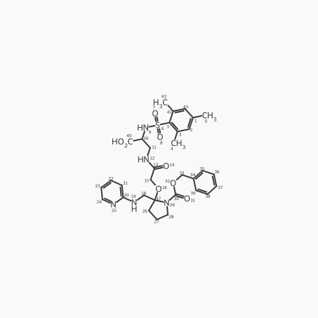 Cc1cc(C)c(S(=O)(=O)NC(CNC(=O)COC2(CNc3ccccn3)CCCN2C(=O)OCc2ccccc2)C(=O)O)c(C)c1